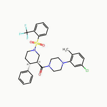 Cc1ccc(Cl)cc1N1CCN(C(=O)[C@@H]2CN(S(=O)(=O)c3ccccc3C(F)(F)F)CC[C@H]2c2ccccc2)CC1